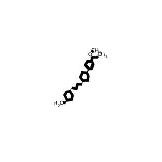 C=C[C@H]1CC[C@H](CCCC[C@H]2CC[C@H](c3ccc(C(CC)OC)cc3)CC2)CC1